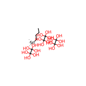 CCC[CH2][Sn].OC(O)(O)C(O)(O)O.OC(O)(O)C(O)(O)O.OC(O)(O)C(O)(O)O